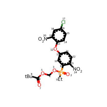 CCP(=O)(OCOC(=O)C(C)(C)C)c1cc(Oc2ccc(Cl)cc2[N+](=O)[O-])ccc1[N+](=O)[O-]